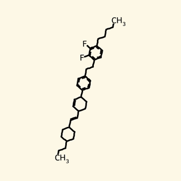 CCCCCc1ccc(CCc2ccc(C3C=CC(/C=C/C4CCC(CCC)CC4)CC3)cc2)c(F)c1F